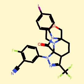 N#Cc1cc(N2N=C(C(F)(F)F)C3CCC45COCCN4C32C(=O)N5c2ccc(I)cc2)ccc1F